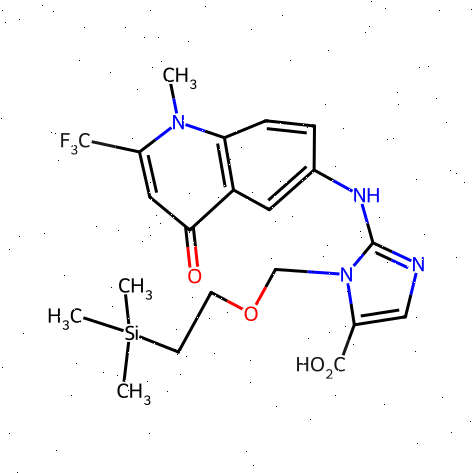 Cn1c(C(F)(F)F)cc(=O)c2cc(Nc3ncc(C(=O)O)n3COCC[Si](C)(C)C)ccc21